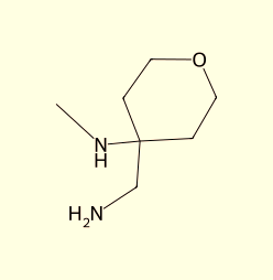 CNC1(CN)CCOCC1